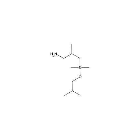 CC(C)CO[Si](C)(C)CC(C)CN